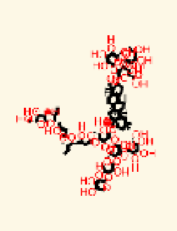 CC[C@H](C)[C@H](C[C@H](O)CC(=O)O[C@@H]1[C@H](O)[C@@H](O[C@@H]2O[C@@H](C)[C@H](O[C@@H]3OC[C@@H](O)[C@H](O[C@H]4C[C@@H](O)[C@H](O)CO4)[C@H]3O)[C@@H](O[C@@H]3O[C@H](CO)[C@@H](O)[C@H](O)[C@H]3O)[C@H]2O)[C@H](OC(=O)[C@]23CCC(C)(C)C[C@H]2C2=CC[C@@H]4[C@@]5(C)CC[C@H](O[C@@H]6O[C@H](C(=O)O)[C@@H](O)[C@H](O[C@@H]7O[C@@H](C)[C@H](O)[C@@H](O)[C@H]7O)[C@H]6O[C@@H]6O[C@H](CO)[C@H](O)[C@H](O)[C@H]6O)[C@@](C)(C=O)[C@@H]5CC[C@@]4(C)[C@]2(C)C[C@H]3O)O[C@@H]1C)OC(=O)C[C@@H](O)C[C@H](O[C@@H]1O[C@@H](CO)[C@H](O)[C@H]1O)[C@@H](C)CC